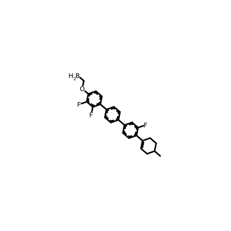 BCOc1ccc(-c2ccc(-c3ccc(C4=CCC(C)CC4)c(F)c3)cc2)c(F)c1F